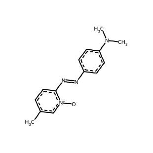 Cc1ccc(N=Nc2ccc(N(C)C)cc2)[n+]([O-])c1